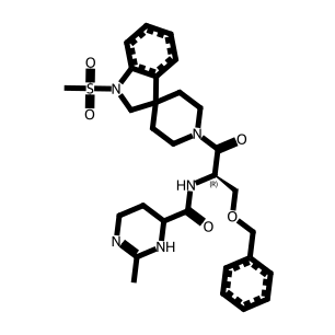 CC1=NCCC(C(=O)N[C@H](COCc2ccccc2)C(=O)N2CCC3(CC2)CN(S(C)(=O)=O)c2ccccc23)N1